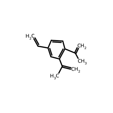 C=Cc1ccc(C(=C)C)c(C(=C)C)c1